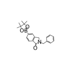 CC1(C)OB(c2ccc3c(c2)CN(Cc2ccccc2)C3=O)OC1(C)C